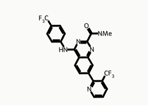 CNC(=O)c1nc(Nc2ccc(C(F)(F)F)cc2)c2ccc(-c3ncccc3C(F)(F)F)cc2n1